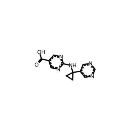 O=C(O)c1cnc(NC2(c3cncnc3)CC2)nc1